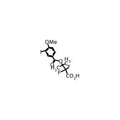 COc1ccc(C(=O)OC(C)(C)C(F)(F)C(=O)O)cc1I